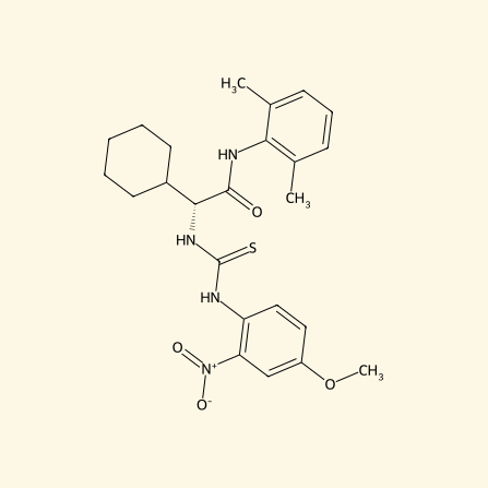 COc1ccc(NC(=S)N[C@@H](C(=O)Nc2c(C)cccc2C)C2CCCCC2)c([N+](=O)[O-])c1